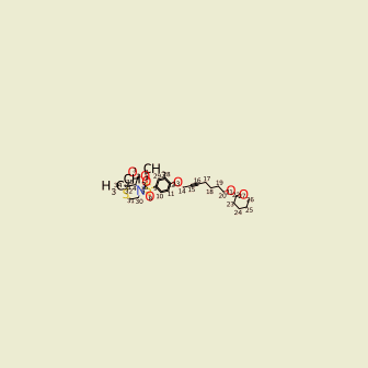 COC(=O)C1N(S(=O)(=O)c2ccc(OCC#CCCCCOC3CCCCO3)cc2)CCSC1(C)C